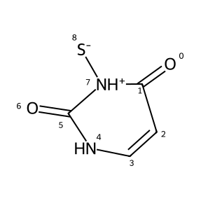 O=C1C=CNC(=O)[NH+]1[S-]